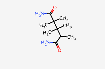 CC(C(N)=O)C(C)(C)C(C)(C)C(N)=O